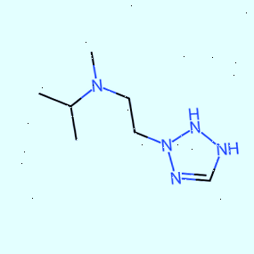 CC(C)N(C)CCN1N=CNN1